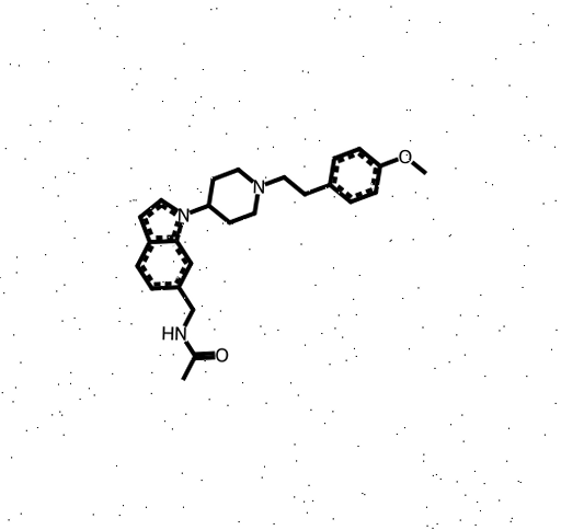 COc1ccc(CCN2CCC(n3ccc4ccc(CNC(C)=O)cc43)CC2)cc1